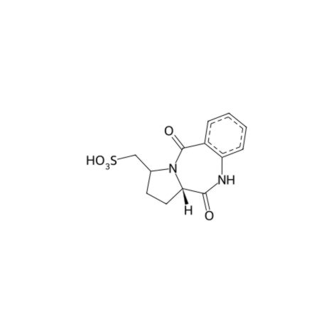 O=C1Nc2ccccc2C(=O)N2C(CS(=O)(=O)O)CC[C@@H]12